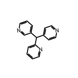 c1ccc(C(c2ccncc2)c2cccnc2)nc1